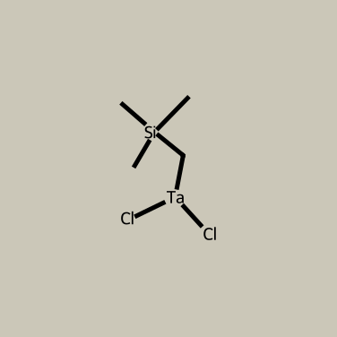 C[Si](C)(C)[CH2][Ta]([Cl])[Cl]